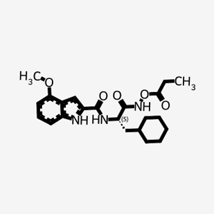 CCC(=O)ONC(=O)[C@H](CC1CCCCC1)NC(=O)c1cc2c(OC)cccc2[nH]1